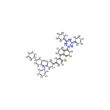 c1ccc(-c2ccc(N(c3ccccc3)c3ccc(-c4ccc5c(c4)-c4cccc6c(-c7nc(-c8ccccc8)nc(-c8ccccc8)n7)ccc(c46)S5)cc3)cc2)cc1